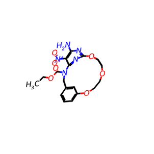 CCOC(=O)N1Cc2cccc(c2)OCCOCCOc2nc(N)c([N+](=O)[O-])c1n2